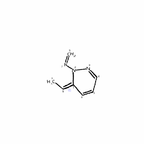 C=NN1N=CC=C/C1=C/C